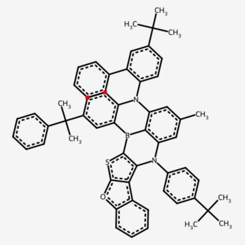 Cc1cc2c3c(c1)N(c1ccc(C(C)(C)C)cc1)c1c(sc4oc5ccccc5c14)B3c1cc(C(C)(C)c3ccccc3)ccc1N2c1ccc(C(C)(C)C)cc1-c1ccccc1